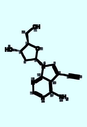 C#Cc1cn([C@H]2C[C@H](O)[C@@H](CO)O2)c2ncnc(N)c12